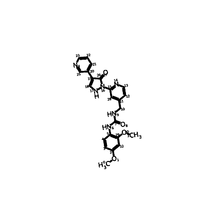 COc1ccc(NC(=O)NCc2ccnc(-n3[nH]cc(-c4cccnc4)c3=O)c2)c(OC)c1